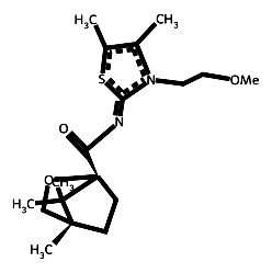 COCCn1c(C)c(C)sc1=NC(=O)[C@]12CC[C@](C)(CO1)C2(C)C